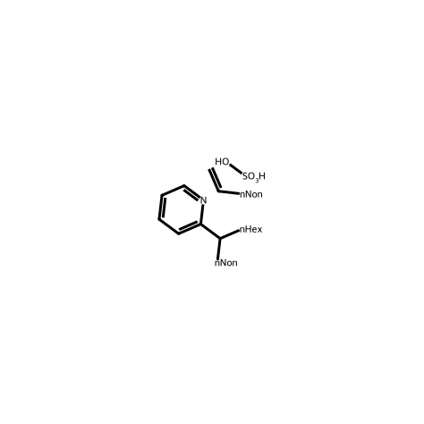 C=CCCCCCCCCC.CCCCCCCCCC(CCCCCC)c1ccccn1.O=S(=O)(O)O